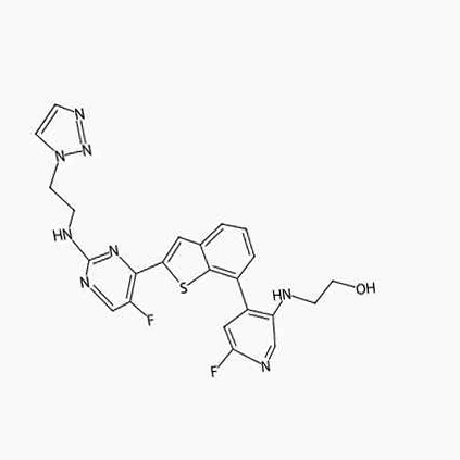 OCCNc1cnc(F)cc1-c1cccc2cc(-c3nc(NCCn4ccnn4)ncc3F)sc12